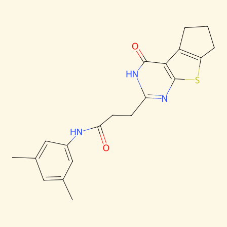 Cc1cc(C)cc(NC(=O)CCc2nc3sc4c(c3c(=O)[nH]2)CCC4)c1